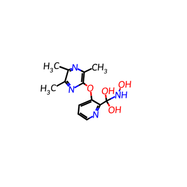 Cc1nc(C)c(Oc2cccnc2C(O)(O)NO)nc1C